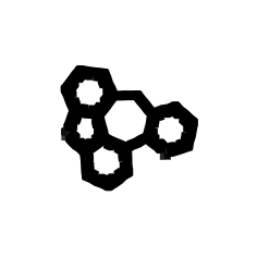 c1cnc2c(c1)Cc1cccc3sc4cccc-2c4c13